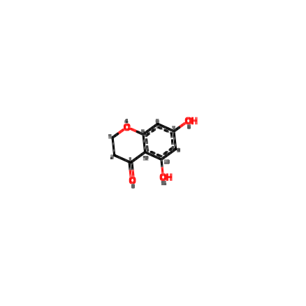 O=C1CCOc2cc(O)cc(O)c21